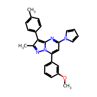 COc1cccc(-c2cc(-n3cccc3)nc3c(-c4ccc(C)cc4)c(C)nn23)c1